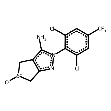 Nc1c2c(nn1-c1c(Cl)cc(C(F)(F)F)cc1Cl)C[S+]([O-])C2